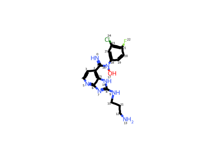 N=C(c1ccnc2nc(NCCCN)[nH]c12)N(O)c1ccc(F)c(Cl)c1